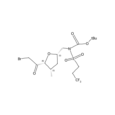 C[C@H]1C[C@@H](CN(C(=O)OC(C)(C)C)S(=O)(=O)CCC(F)(F)F)O[C@H]1C(=O)CBr